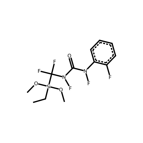 CC[Si](OC)(OC)C(F)(F)N(F)C(=O)N(F)c1ccccc1F